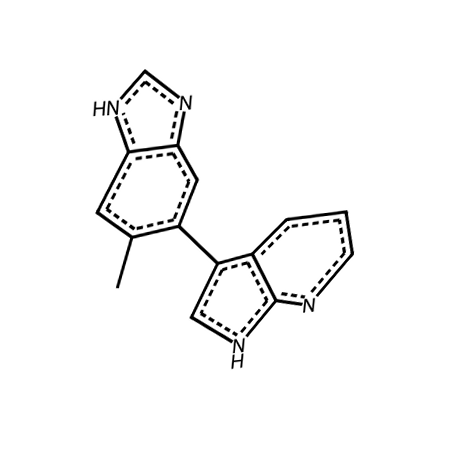 Cc1cc2[nH]cnc2cc1-c1c[nH]c2ncccc12